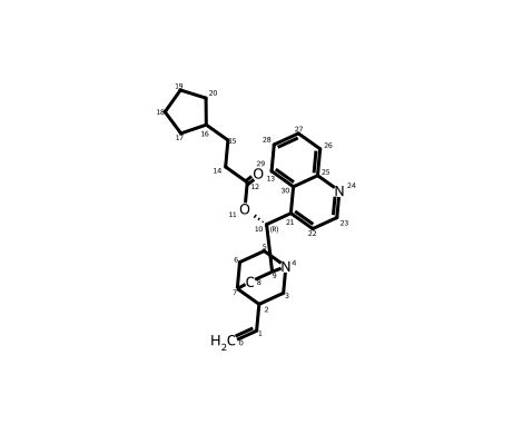 C=CC1CN2CCC1CC2[C@H](OC(=O)CCC1CCCC1)c1ccnc2ccccc12